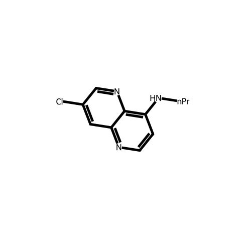 CCCNc1ccnc2cc(Cl)cnc12